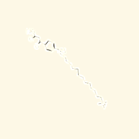 C[Si](C)(C)CCCCCCCCCCCCCCNc1ccc(C(=O)CC(=O)O)cc1